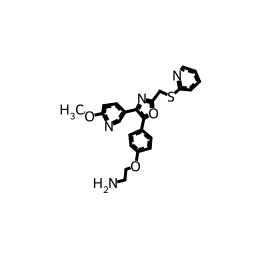 COc1ccc(-c2nc(CSc3ccccn3)oc2-c2ccc(OCCN)cc2)cn1